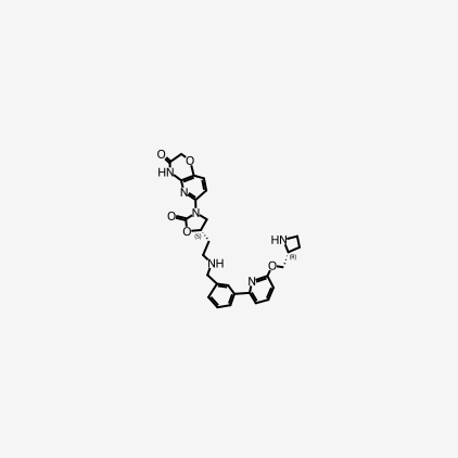 O=C1COc2ccc(N3C[C@H](CCNCc4cccc(-c5cccc(OC[C@H]6CCN6)n5)c4)OC3=O)nc2N1